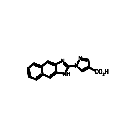 O=C(O)c1cnn(-c2nc3cc4ccccc4cc3[nH]2)c1